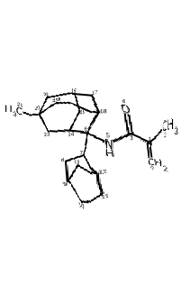 C=C(C)C(=O)NC1(C2CC3CCC2C3)C2CC3CC1CC(C)(C3)C2